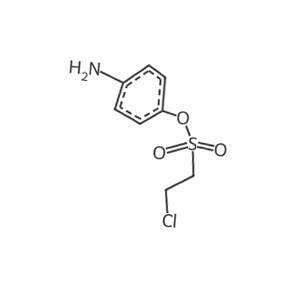 Nc1ccc(OS(=O)(=O)CCCl)cc1